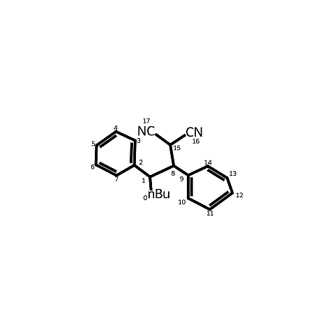 CCCCC(c1ccccc1)C(c1ccccc1)C(C#N)C#N